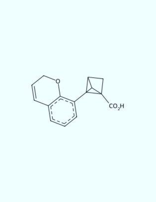 O=C(O)C12CC(C1)C2c1cccc2c1OCC=C2